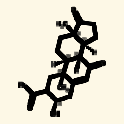 CC(C)C(=O)C1C[C@@]2(C)C(=CC(=O)[C@@H]3[C@@H]2CC[C@]2(C)C(=O)CC[C@@H]32)C[C@H]1O